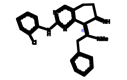 CN/C(Cc1ccccc1)=C1\C(=N)CCc2cnc(Nc3ccccc3Cl)nc21